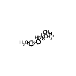 CN1CCCN([C@H]2CCC[C@H](NC(=O)OC(C)(C)C)C2)CC1